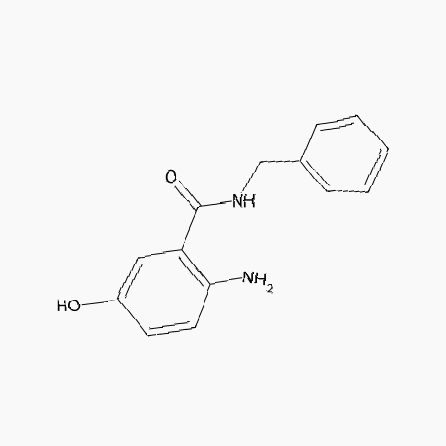 Nc1ccc(O)cc1C(=O)NCc1ccccc1